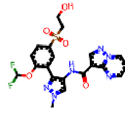 Cn1cc(NC(=O)c2cnn3cccnc23)c(-c2cc(S(=O)(=O)CCO)ccc2OC(F)F)n1